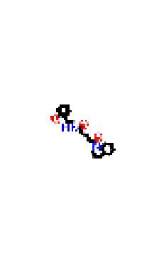 COc1ccccc1CCNC(=O)CCCC(=O)N1CCCC2CCCCC21